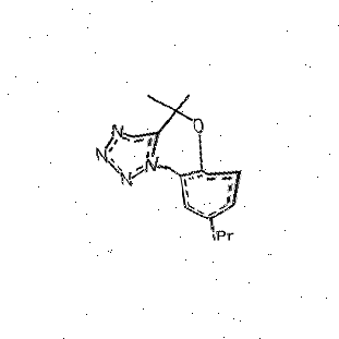 CC(C)c1ccc2c(c1)-n1nnnc1C(C)(C)O2